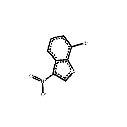 O=[N+]([O-])c1csc2c(Br)cccc12